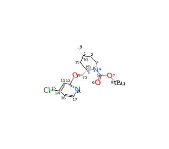 C[C@@H]1CCN(C(=O)OC(C)(C)C)[C@H](COc2cc(Cl)ccn2)C1